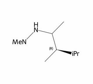 CNNC(C)[C@H](C)C(C)C